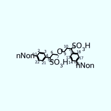 CCCCCCCCCc1ccc(C(CCOCCC(c2ccc(CCCCCCCCC)cc2)S(=O)(=O)O)S(=O)(=O)O)cc1